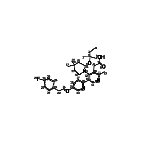 CCC(C)(C)O[C@H](C(=O)O)c1c(C)ncc(-c2ccc(OCCc3ccc(F)cc3)cn2)c1N1CCC(C)(C)CC1